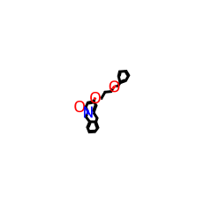 O=c1cc(OCCCOCc2ccccc2)cc2n1Cc1ccccc1C2